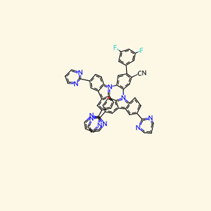 N#Cc1cc(-n2c3ccc(-c4ncccn4)cc3c3cc(-c4ncccn4)ccc32)c(-n2c3ccc(-c4ncccn4)cc3c3cc(-c4ncccn4)ccc32)cc1-c1cc(F)cc(F)c1